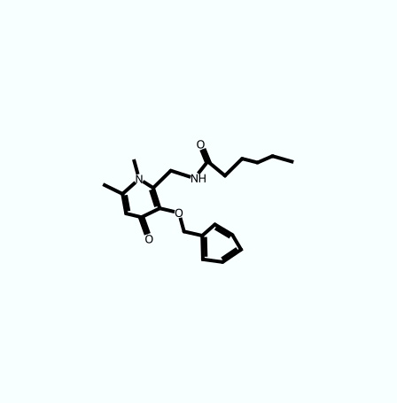 CCCCCC(=O)NCc1c(OCc2ccccc2)c(=O)cc(C)n1C